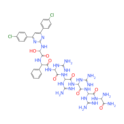 N=C(N)NC(NC(=O)C(NC(=N)N)NC(=O)C(NC(=N)N)NC(=O)C(NC(=N)N)NC(=O)C(NC(=O)C(O)Nc1nc(-c2ccc(Cl)cc2)cc(-c2ccc(Cl)cc2)n1)c1ccccc1)C(=O)NC(N)C(N)=O